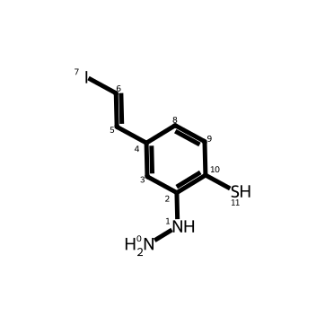 NNc1cc(/C=C/I)ccc1S